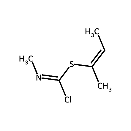 C/C=C(/C)S/C(Cl)=N\C